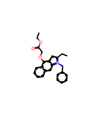 CCOC(=O)COc1c2ccccc2cc2c1cc(CC)n2Cc1ccccc1